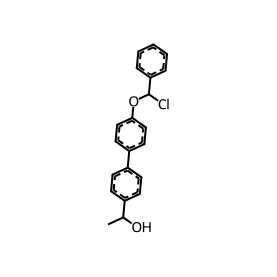 CC(O)c1ccc(-c2ccc(OC(Cl)c3ccccc3)cc2)cc1